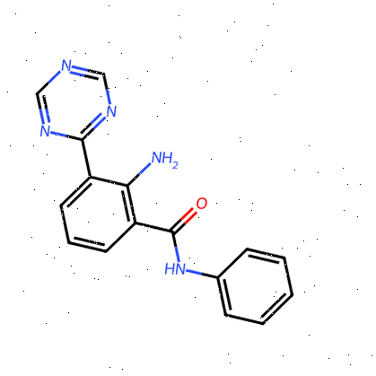 Nc1c(C(=O)Nc2ccccc2)cccc1-c1ncncn1